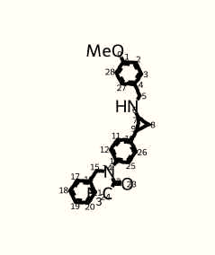 COc1ccc(CNC2CC2c2ccc(N(Cc3ccccc3)C(=O)C(F)(F)F)cc2)cc1